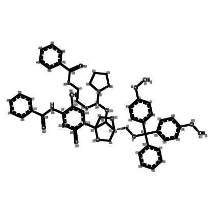 COc1ccc(C(OC[C@@]23COC(n4cc(C)c(NC(=O)c5ccccc5)nc4=O)(CO2)C3OP(SCCSC(=O)c2ccccc2)N2CCCC2)(c2ccccc2)c2ccc(OC)cc2)cc1